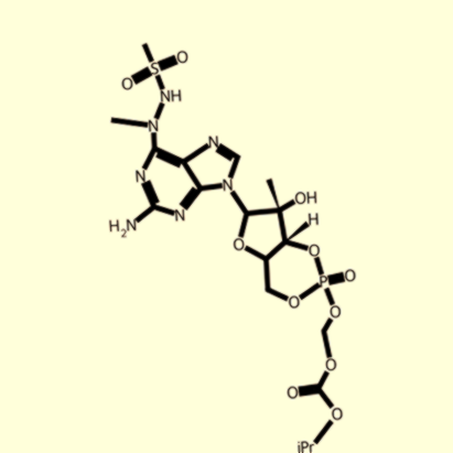 CC(C)OC(=O)OCOP1(=O)OCC2OC(n3cnc4c(N(C)NS(C)(=O)=O)nc(N)nc43)[C@](C)(O)[C@@H]2O1